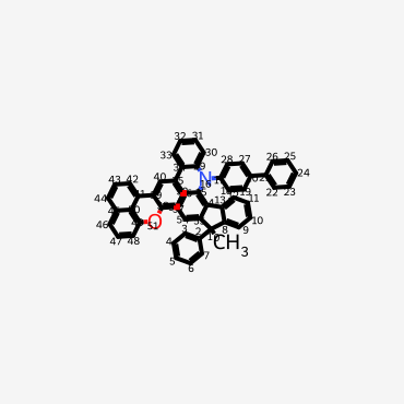 CC1(c2ccccc2)c2ccccc2-c2c(N(c3ccc(-c4ccccc4)cc3)c3ccccc3-c3ccc4c(c3)-c3cccc5cccc(c35)O4)cccc21